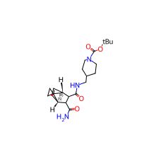 CC(C)(C)OC(=O)N1CCC(CNC(=O)C2C(C(N)=O)[C@@H]3C=C[C@H]2C32CC2)CC1